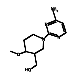 COC1CCN(c2nccc(N)n2)CC1CO